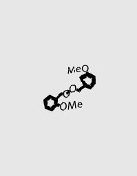 COc1cccc(COOCc2ccccc2OC)c1